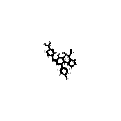 CCC1=C(c2ccccc2C(C)CC)C(c2ccc(C)cc2)=C/C(=C/c2ccc(C(C)C)cc2)C1C